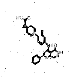 C=C/C=C(\C=C/CN1CCC2(CC1)CC2C(=O)O)Nc1nc(-c2ccccc2)nc2cn[nH]c(=O)c12